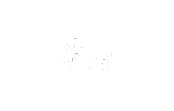 N#Cc1cc(-n2c3ccc(N(c4ccccc4)c4ccccc4)cc3c3cc(N(c4ccccc4)c4ccccc4)ccc32)c(C#N)cc1-c1ccc(-c2cc(-c3ccccc3)nc(-c3ccccc3)n2)cc1